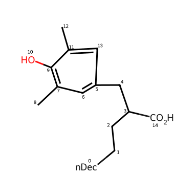 CCCCCCCCCCCCC(Cc1cc(C)c(O)c(C)c1)C(=O)O